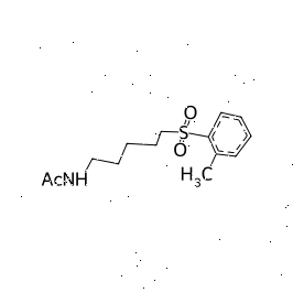 CC(=O)NCCCCCS(=O)(=O)c1ccccc1C